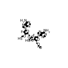 Nc1ncnc2c1ncn2[C@@H]1O[C@H](COP(=O)(O)O[C@H]2[C@@H](F)[C@H](n3cnc4c(N)ncnc43)O[C@@H]2COP=O)[C@@H](OCS)[C@H]1F